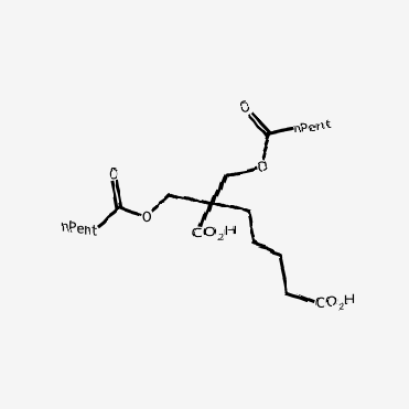 CCCCCC(=O)OCC(CCCCC(=O)O)(COC(=O)CCCCC)C(=O)O